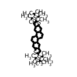 CC(C)[Si](c1cc2cc3c(ccc4c5cc6cc([Si](C(C)C)(C(C)C)C(C)C)sc6cc5ccc34)cc2s1)(C(C)C)C(C)C